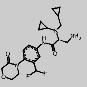 NC[C@@H](C(=O)Nc1ccc(N2CCOCC2=O)c(C(F)F)c1)N(CC1CC1)C1CC1